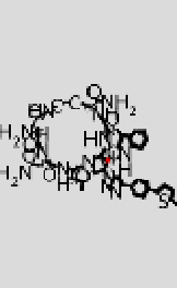 CC[C@H](C)[C@@H]1NC(=O)[C@H](CC(N)=O)NC(=O)[C@@H](N)CC(=O)NCCCC[C@@H](C(N)=O)NC(=O)[C@H](Cc2c[nH]c3ccccc23)NC(=O)[C@@H]2C[C@H](n3cc(-c4ccc(-c5ccc(C)s5)cc4)nn3)CN2C1=O